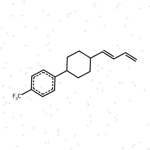 C=CC=CC1CCC(c2ccc(C(F)(F)F)cc2)CC1